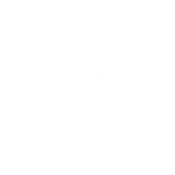 O=C(O)CCC1Cc2cc(F)ccc2C1=O